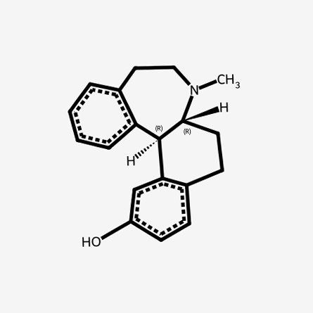 CN1CCc2ccccc2[C@@H]2c3cc(O)ccc3CC[C@H]21